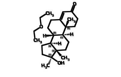 CCOCC.C[C@]12CCC(=O)C=C1CC[C@@H]1[C@@H]2CC[C@@]2(C)[C@H]1CC[C@]2(C)O